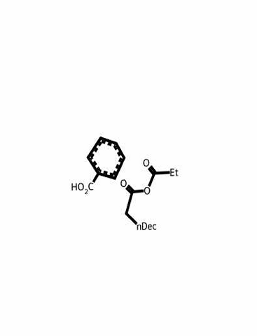 CCCCCCCCCCCC(=O)OC(=O)CC.O=C(O)c1ccccc1